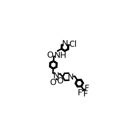 O=C(NCc1ccc(Cl)nc1)c1ccc(CN2CC3(CCN(Cc4ccc(C(F)(F)F)cc4)CC3)OC2=O)cc1